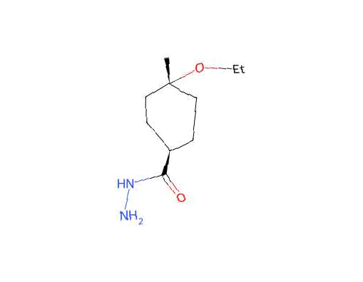 CCO[C@]1(C)CC[C@@H](C(=O)NN)CC1